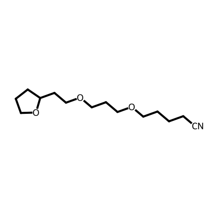 N#CCCCCOCCCOCCC1CCCO1